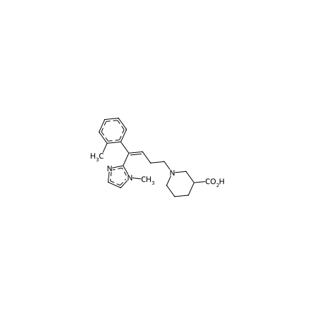 Cc1ccccc1/C(=C/CCN1CCCC(C(=O)O)C1)c1nccn1C